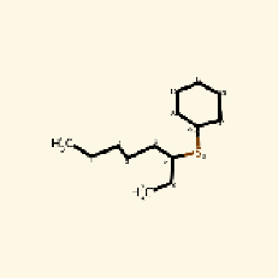 CCCCCC(CC)SC1CCCCC1